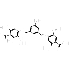 COc1cc(C(C)=O)c(C)cc1OCc1cc(N)cc(COc2cc(C)c(C(C)=O)cc2OC)c1